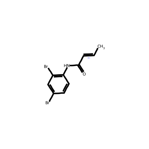 C/C=C/C(=O)Nc1ccc(Br)cc1Br